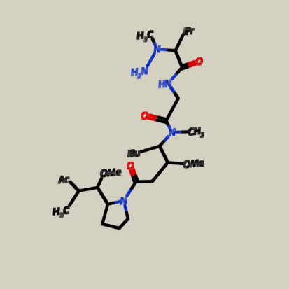 CCC(C)C(C(CC(=O)N1CCCC1C(OC)C(C)C(C)=O)OC)N(C)C(=O)CNC(=O)C(C(C)C)N(C)N